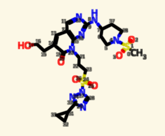 CS(=O)(=O)N1CCC(Nc2ncc3cc(CCO)c(=O)n(CCCS(=O)(=O)n4cnc(C5CC5)n4)c3n2)CC1